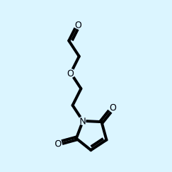 O=CCOCCN1C(=O)C=CC1=O